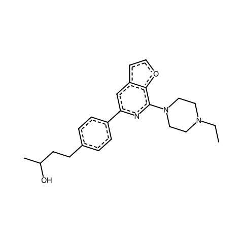 CCN1CCN(c2nc(-c3ccc(CCC(C)O)cc3)cc3ccoc23)CC1